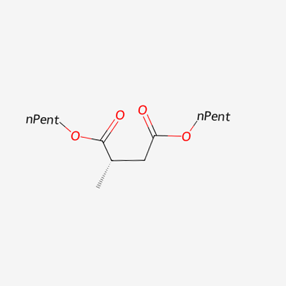 CCCCCOC(=O)C[C@H](C)C(=O)OCCCCC